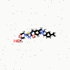 C=C(C)c1ccc(Cn2ncc3cc(/C=C4/SC(N5CCO[C@@H](CO)C5)=NC4=O)ccc32)c(C(F)(F)F)c1